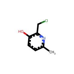 Cc1ccc(O)c(CCl)n1